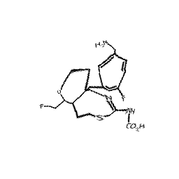 Nc1ccc(F)c(C23CCOC(CF)C2CSC(NC(=O)O)=N3)c1